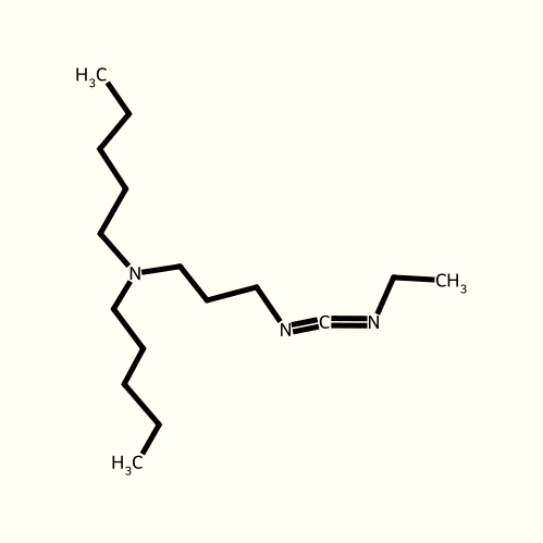 CCCCCN(CCCCC)CCCN=C=NCC